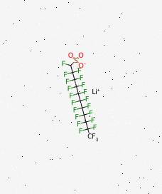 O=S(=O)([O-])C(F)C(F)(F)C(F)(F)C(F)(F)C(F)(F)C(F)(F)C(F)(F)C(F)(F)C(F)(F)C(F)(F)C(F)(F)F.[Li+]